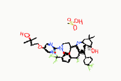 CC(C)(O)CCOc1cnc(N2CCC(c3nc4c(c(C5CCC(F)(F)CC5)c3[C@@H](F)c3ccc(C(F)(F)F)cc3)[C@@H](O)CC(C)(C)C4)CC2)nc1.CS(=O)(=O)O